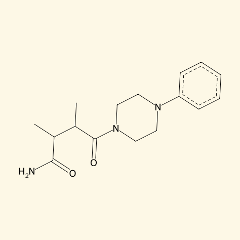 CC(C(N)=O)C(C)C(=O)N1CCN(c2ccccc2)CC1